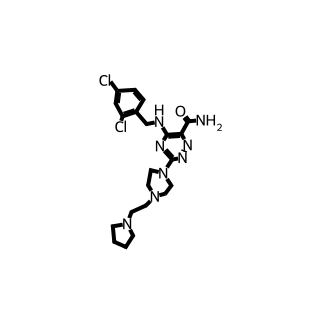 NC(=O)c1nnc(N2CCN(CCN3CCCC3)CC2)nc1NCc1ccc(Cl)cc1Cl